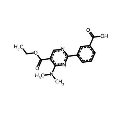 CCOC(=O)c1cnc(-c2cccc(C(=O)O)c2)nc1N(C)C